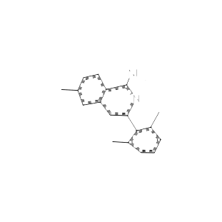 Cc1ccc2c(N)nc(-c3c(C)cccc3C)cc2c1